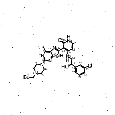 CCC(C)CN1CCN(c2nc(C)c3nc(-c4c(NCC(O)c5cccc(Cl)c5)cc[nH]c4=O)[nH]c3n2)CC1